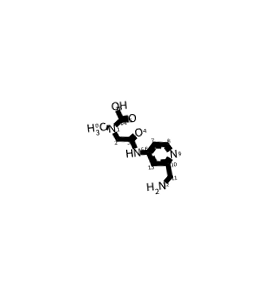 CN(CC(=O)Nc1ccnc(CN)c1)C(=O)O